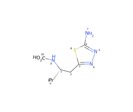 CC(C)[C@@H](Cc1nnc(N)s1)NC(=O)O